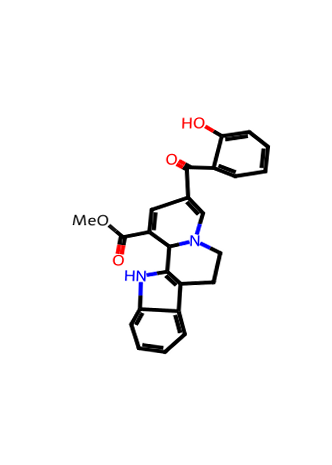 COC(=O)C1=CC(C(=O)c2ccccc2O)=CN2CCc3c([nH]c4ccccc34)C12